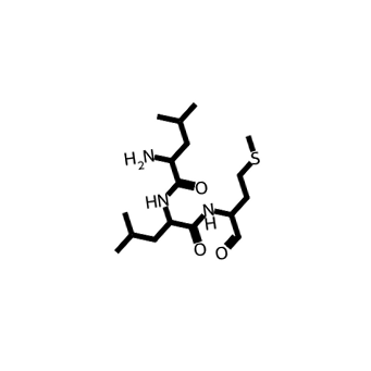 CSCCC(C=O)NC(=O)C(CC(C)C)NC(=O)C(N)CC(C)C